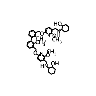 COc1nc(OCc2cccc(-c3cccc(COc4ccc(CNC5CCCCC5O)c(OC)n4)c3C)c2C)ccc1CNC1CCCCC1O